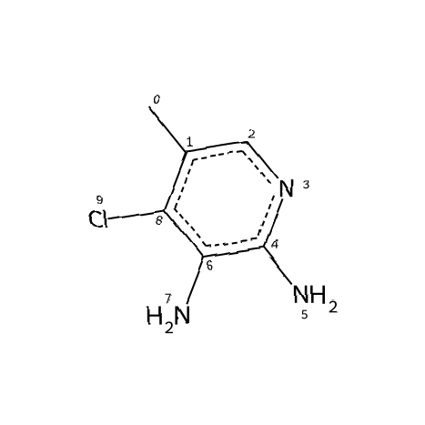 Cc1cnc(N)c(N)c1Cl